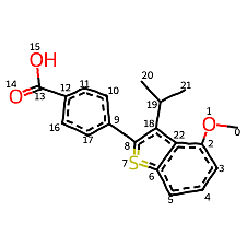 COc1cccc2sc(-c3ccc(C(=O)O)cc3)c(C(C)C)c12